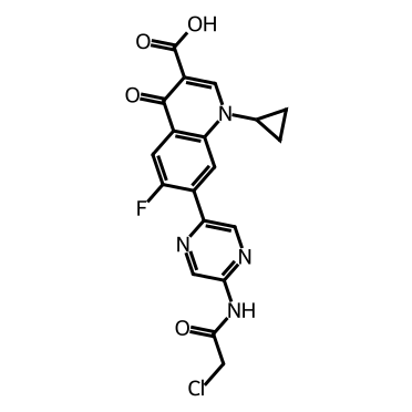 O=C(CCl)Nc1cnc(-c2cc3c(cc2F)c(=O)c(C(=O)O)cn3C2CC2)cn1